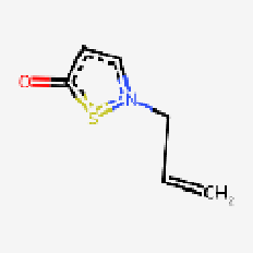 C=CCn1ccc(=O)s1